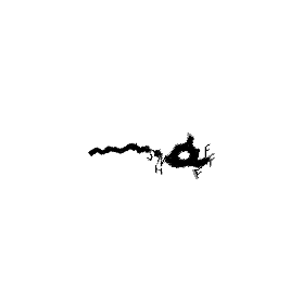 CCCCCCCCSCNc1cc(C)cc(C(F)(F)F)c1